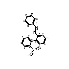 O=[N+]([O-])c1ccccc1-c1ccccc1N=Nc1ccccc1